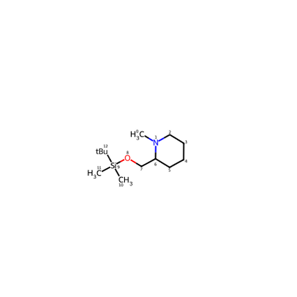 CN1CCCCC1CO[Si](C)(C)C(C)(C)C